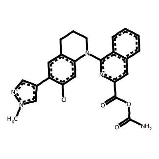 Cn1cc(-c2cc3c(cc2Cl)N(c2nc(C(=O)OC(N)=O)cc4ccccc24)CCC3)cn1